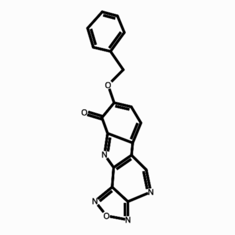 O=C1C(OCc2ccccc2)=CC=C2C1=Nc1c2cnc2nonc12